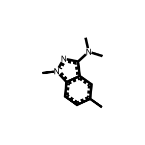 Cc1ccc2c(c1)c(N(C)C)nn2C